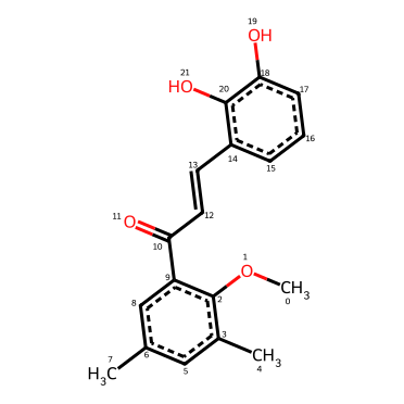 COc1c(C)cc(C)cc1C(=O)C=Cc1cccc(O)c1O